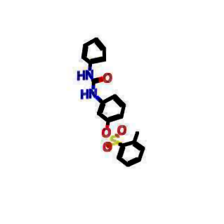 Cc1ccccc1S(=O)(=O)Oc1cccc(NC(=O)Nc2ccccc2)c1